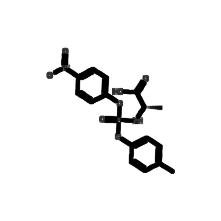 Cc1ccc(OP(=O)(N[C@@H](C)C(=O)O)Oc2ccc([N+](=O)[O-])cc2)cc1